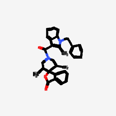 Cc1c(C(=O)N2CC(C)C3(OC(=O)c4ccccc43)C(C)C2)c2ccccc2n1Cc1ccccc1